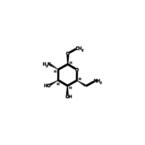 CO[C@H]1O[C@H](CN)[C@@H](O)[C@H](O)[C@@H]1N